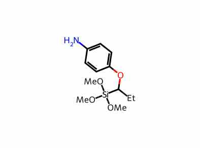 CCC(Oc1ccc(N)cc1)[Si](OC)(OC)OC